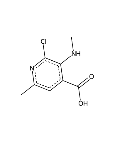 CNc1c(C(=O)O)cc(C)nc1Cl